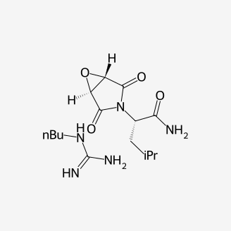 CC(C)C[C@@H](C(N)=O)N1C(=O)[C@H]2O[C@@H]2C1=O.CCCCNC(=N)N